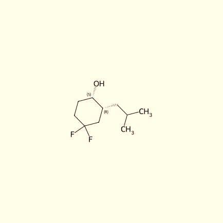 CC(C)C[C@@H]1CC(F)(F)CC[C@@H]1O